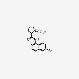 O=C(Nc1nccc2cc(Br)ccc12)C1CCCN1C(=O)O